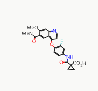 CNC(=O)c1cc2c(Oc3ccc(NC(=O)C4(C(=O)O)CC4)cc3F)ccnc2cc1OC